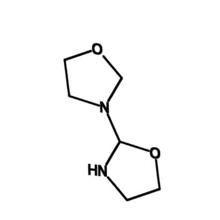 C1COC(N2CCOC2)N1